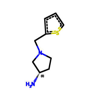 N[C@H]1CCN(Cc2cccs2)C1